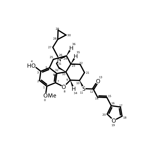 COc1cc(O)c2c3c1O[C@H]1[C@H](SC(=O)/C=C/c4ccoc4)CC[C@H]4[C@@H](C2)N(CC2CC2)CC[C@@]341